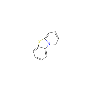 C1=CCN2C(=C1)Sc1ccccc12